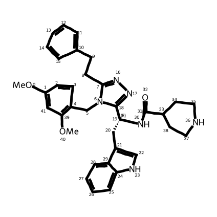 COc1ccc(Cn2c(CCc3ccccc3)nnc2[C@@H](Cc2c[nH]c3ccccc23)NC(=O)C2CCNCC2)c(OC)c1